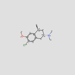 COc1cc2c(cc1Cl)C[C@@H](N(C)C)C[C@@H]2C